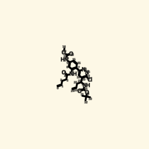 C=CCCC(=O)Nc1cc(NC(=O)OC)ccc1-c1cc(C(CC=C)NC(=O)OC(C)(C)C)c(Cl)nn1